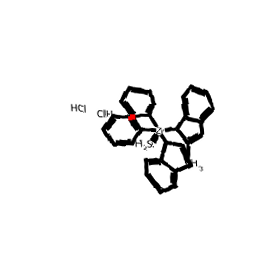 CC1=Cc2ccccc2[CH]1[Zr](=[SiH2])([c]1ccccc1)([c]1ccccc1)[CH]1C=Cc2ccccc21.Cl.Cl